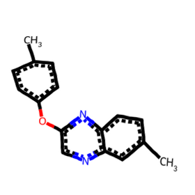 Cc1ccc(Oc2cnc3cc(C)ccc3n2)cc1